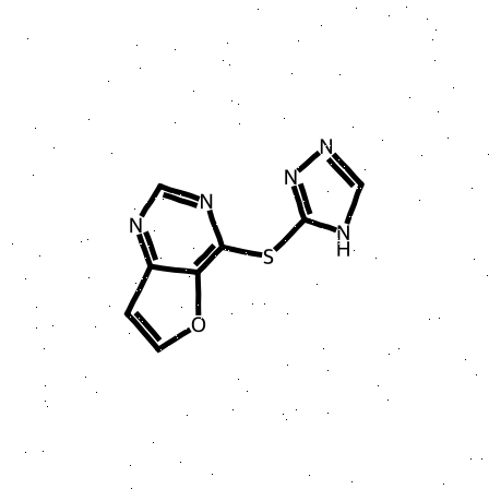 c1nc(Sc2nnc[nH]2)c2occc2n1